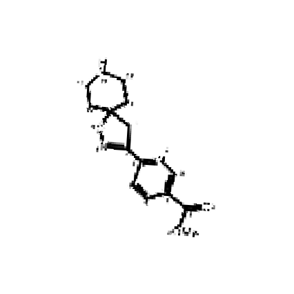 COC(=O)c1ccc(C2=NOC3(CCNCC3)C2)nc1